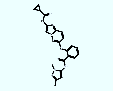 Cc1cc(NC(=O)c2ccccc2Sc2ccc3nc(NC(=O)C4CC4)cn3n2)n(C)n1